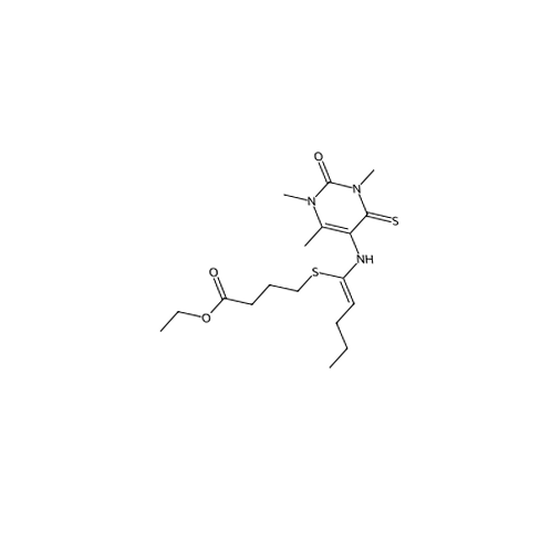 CCC/C=C(/Nc1c(C)n(C)c(=O)n(C)c1=S)SCCCC(=O)OCC